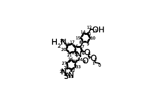 CCOC(=O)Oc1c(-c2ccc(CO)cc2)c2cc(N)ccc2n1Cc1ccc2nsnc2c1